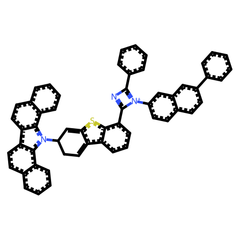 C1=c2sc3c(C4=NC(c5ccccc5)=[N+]4c4ccc5ccc(-c6ccccc6)cc5c4)cccc3c2=CCC1n1c2c3ccccc3ccc2c2ccc3ccccc3c21